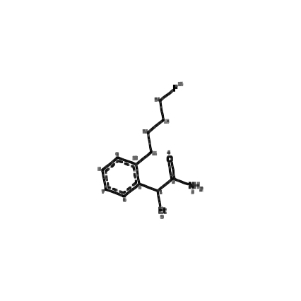 CCC(C(N)=O)c1ccccc1CCCCF